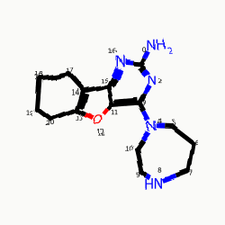 Nc1nc(N2CCCNCC2)c2oc3c(c2n1)CCCC3